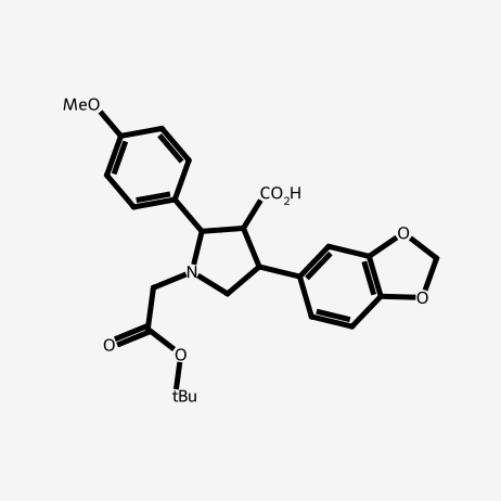 COc1ccc(C2C(C(=O)O)C(c3ccc4c(c3)OCO4)CN2CC(=O)OC(C)(C)C)cc1